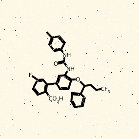 Cc1ccc(NC(=O)Nc2cc(-c3cc(F)ccc3C(=O)O)ccc2OC(CCC(F)(F)F)c2ccccc2)cc1